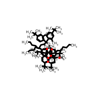 CCCCCCC(C)C(OP(OC(c1ccc(C(C)(C)C)cc1C)(c1ccc(C(C)(C)C)cc1C)C(C)CCCCCC)OC(c1ccc(C(C)(C)C)cc1C)(c1ccc(C(C)(C)C)cc1C)C(C)CCCCCC)(c1ccc(C(C)(C)C)cc1C)c1ccc(C(C)(C)C)cc1C